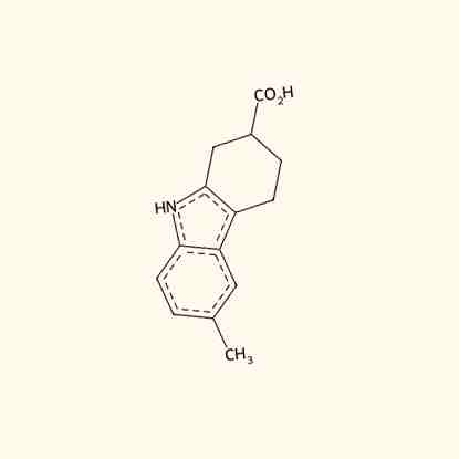 Cc1ccc2[nH]c3c(c2c1)CCC(C(=O)O)C3